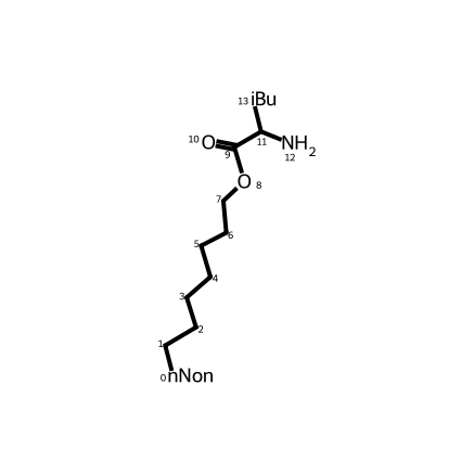 CCCCCCCCCCCCCCCCOC(=O)C(N)C(C)CC